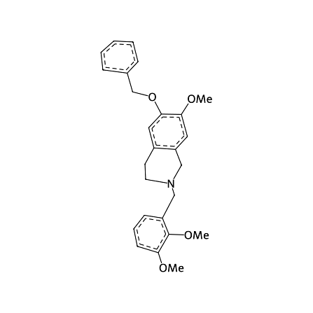 COc1cc2c(cc1OCc1ccccc1)CCN(Cc1cccc(OC)c1OC)C2